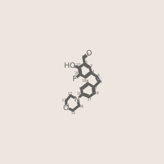 O=Cc1cc(/C=C\c2ccc(N3CCOCC3)cc2)cc(F)c1O